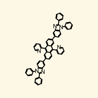 c1ccc(-c2nc3cc(-c4ccc5c(-c6ccccn6)c6cc(-c7ccc8c(c7)nc(-c7ccccc7)n8-c7ccccc7)ccc6c(-c6ccccn6)c5c4)ccc3n2-c2ccccc2)cc1